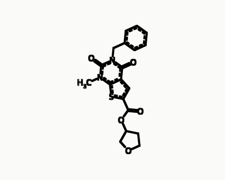 Cn1c(=O)n(Cc2ccccc2)c(=O)c2cc(C(=O)OC3CCOC3)sc21